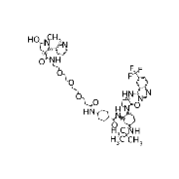 CN1C(O)C[C@H](C(=O)NCCOCCOCCOCCC(=O)N[C@H]2CC[C@@H](C(=O)N[C@@H]3C[C@H](NC(C)(C)C)CC[C@@H]3N3CC[C@H](Nc4ncnc5ccc(C(F)(F)F)cc45)C3=O)CC2)[C@H]1c1cccnc1